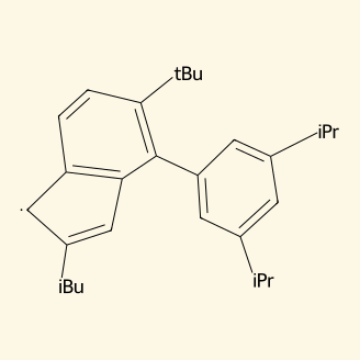 CCC(C)C1=Cc2c(ccc(C(C)(C)C)c2-c2cc(C(C)C)cc(C(C)C)c2)[CH]1